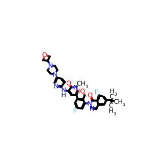 Cn1cc(-c2cc(F)cc(-n3ncc4cc(C(C)(C)C)cc(F)c4c3=O)c2CO)cc(Nc2ccc(N3CCN(C4COC4)CC3)cn2)c1=O